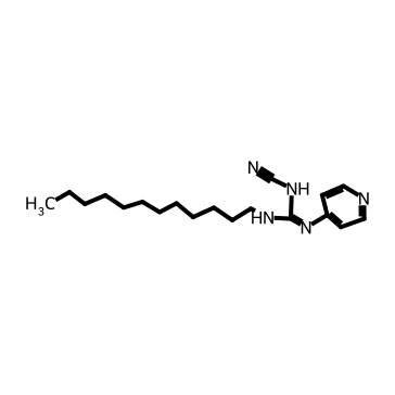 CCCCCCCCCCCCNC(=Nc1ccncc1)NC#N